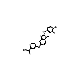 Cc1cc(Nc2nc3cc(Oc4ccnc(C(=O)O)c4)ccc3n2C)ccc1Br